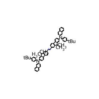 CC(C)(C)c1ccc(N(c2ccc3c(c2)C(C)(C)c2cc(/C=C/c4ccc5c(c4)C(C)(C)c4cc(N(c6ccc(C(C)(C)C)cc6)c6ccc7ccccc7c6)ccc4-5)ccc2-3)c2ccc3ccccc3c2)cc1